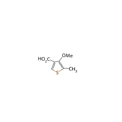 COc1c(C(=O)O)csc1C